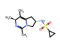 CC1=N[C@@H](C)C(C)=C2C[C@H](NS(=O)(=O)C3CC3)CN12